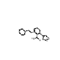 O=C(O)c1c(C=Cc2ccccc2)cccc1-c1conn1